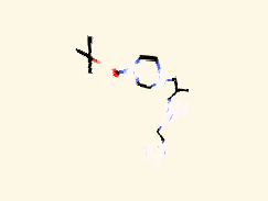 CC(CNCCN)CN1CCN(C(=O)OC(C)(C)C)CC1